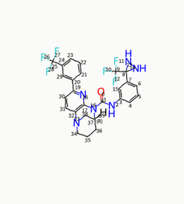 O=C(Nc1cccc(C2(C(F)(F)F)NN2)c1)N1c2nc(-c3cccc(C(F)(F)F)c3)ccc2N2CCC[C@@H]1C2